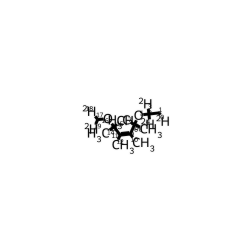 [2H]CC([2H])([2H])OC(C)(C)/C(C)=C(/C)C(C)(C)OC([2H])[2H]